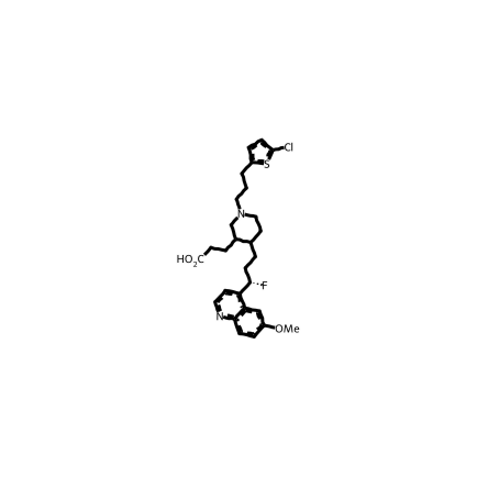 COc1ccc2nccc([C@@H](F)CCC3CCN(CCCc4ccc(Cl)s4)CC3CCC(=O)O)c2c1